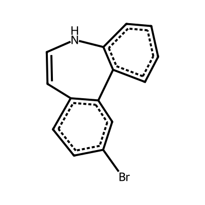 Brc1ccc2c(c1)-c1ccccc1NC=C2